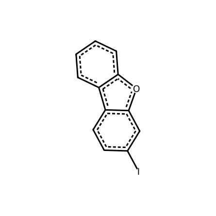 Ic1ccc2c(c1)oc1ccccc12